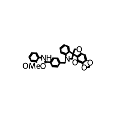 COc1ccccc1NC(=O)c1ccc(CN2C(=O)C3(COc4cc5c(cc43)OCO5)c3ccccc32)cc1